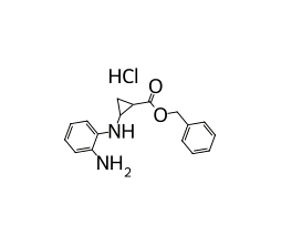 Cl.Nc1ccccc1NC1CC1C(=O)OCc1ccccc1